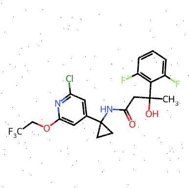 CC(O)(CC(=O)NC1(c2cc(Cl)nc(OCC(F)(F)F)c2)CC1)c1c(F)cccc1F